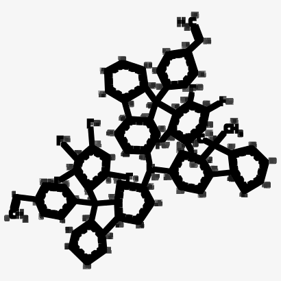 C=Cc1ccc(C2(c3c(F)cc(F)c(F)c3F)c3ccccc3-c3ccc(N(c4ccc5c(c4)C(C)(C)c4ccccc4-5)c4ccc5c(c4)C(c4ccc(C=C)cc4)(c4c(F)c(F)cc(F)c4F)c4ccccc4-5)cc32)cc1